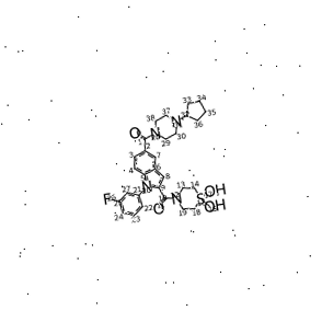 O=C(c1ccc2c(c1)cc(C(=O)N1CCS(O)(O)CC1)n2-c1cccc(F)c1)N1CCN(C2CCCC2)CC1